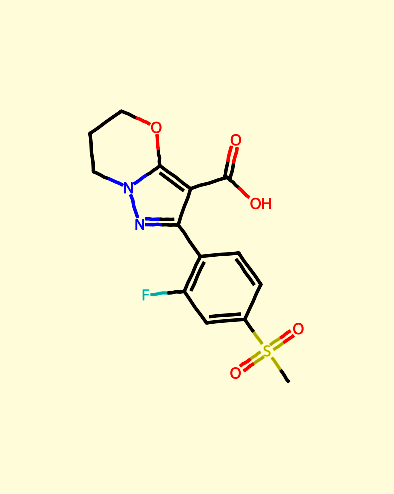 CS(=O)(=O)c1ccc(-c2nn3c(c2C(=O)O)OCCC3)c(F)c1